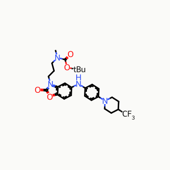 CN(CCCn1c(=O)oc2ccc(Nc3ccc(N4CCC(C(F)(F)F)CC4)cc3)cc21)C(=O)OC(C)(C)C